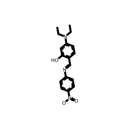 CCN(CC)c1ccc(C=Nc2ccc([N+](=O)[O-])cc2)c(O)c1